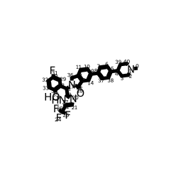 CN1CCC(c2ccc(-c3ccc4c(c3)C(=O)N(C(c3ncc(C(F)(F)F)[nH]3)c3cc(F)ccc3O)C4)cc2)CC1